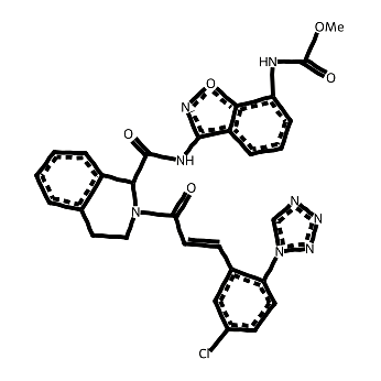 COC(=O)Nc1cccc2c(NC(=O)C3c4ccccc4CCN3C(=O)/C=C/c3cc(Cl)ccc3-n3cnnn3)noc12